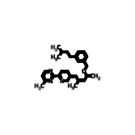 C=C(/C=C(C)\C=C1\C=CC(c2nccc(C)n2)=NC1)OCc1cccc(CCC(C)C)c1